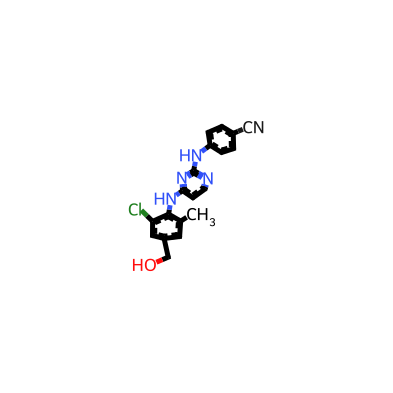 Cc1cc(CO)cc(Cl)c1Nc1ccnc(Nc2ccc(C#N)cc2)n1